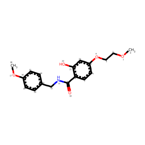 COCCOc1ccc(C(=O)NCc2ccc(OC)cc2)c(O)c1